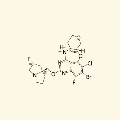 CN1c2nc(OC[C@@]34CCCN3C[C@H](F)C4)nc3c(F)c(Br)c(Cl)c(c23)O[C@H]2COCC[C@@H]21